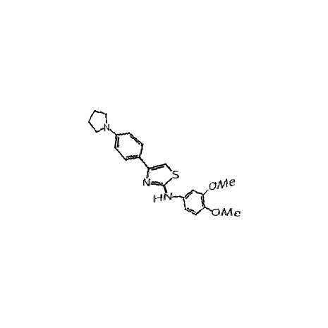 COc1ccc(Nc2nc(-c3ccc(N4CCCC4)cc3)cs2)cc1OC